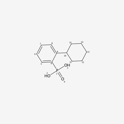 O=P(O)(O)c1ccccc1C1CCCCC1